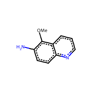 COc1c(N)ccc2ncccc12